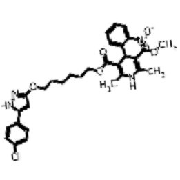 COC(=O)C1=C(C)NC(C)=C(C(=O)OCCCCCCOc2cc(-c3ccc(Cl)cc3)[nH]n2)C1c1ccccc1[N+](=O)[O-]